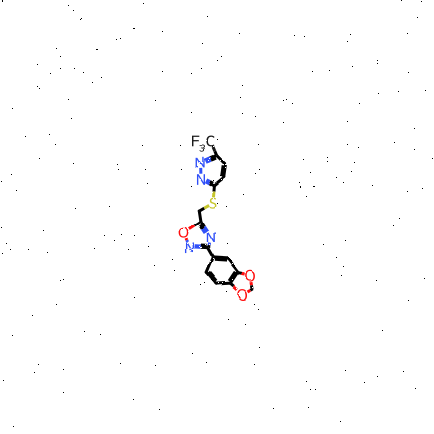 FC(F)(F)c1ccc(SCc2nc(-c3ccc4c(c3)OCO4)no2)nn1